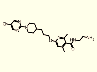 Cc1cc(OCCCC2CCN(c3ncc(Cl)cn3)CC2)nc(C)c1C(=O)NCCN